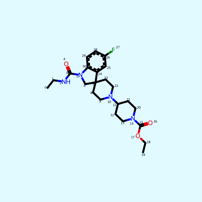 CCNC(=O)N1CC2(CCN(C3CCN(C(=O)OCC)CC3)CC2)c2cc(F)ccc21